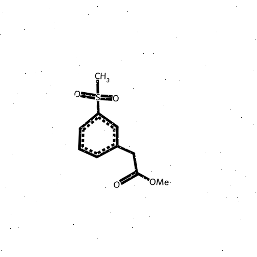 COC(=O)Cc1cccc(S(C)(=O)=O)c1